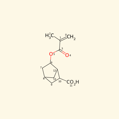 C=C(C)C(=O)OC1CC2CC(C(=O)O)C1C2